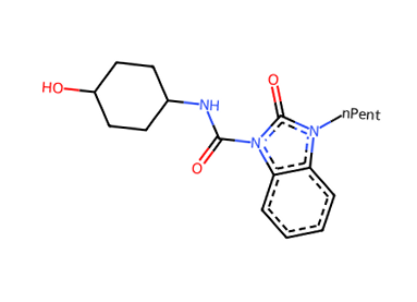 CCCCCn1c(=O)n(C(=O)NC2CCC(O)CC2)c2ccccc21